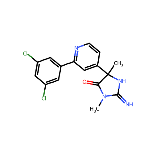 CN1C(=N)NC(C)(c2ccnc(-c3cc(Cl)cc(Cl)c3)c2)C1=O